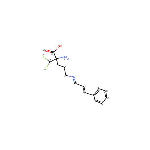 NC(CCCN=CC=Cc1ccccc1)(C(=O)O)C(F)F